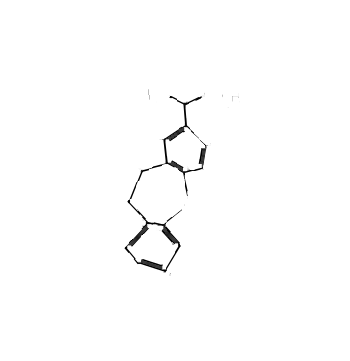 CC(C(=O)O)c1ccc2c(c1)CCc1ccccc1O2